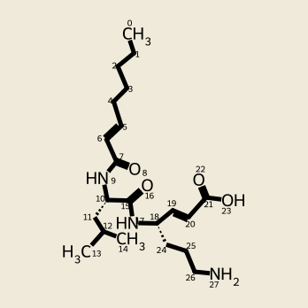 CCCCC/C=C/C(=O)N[C@@H](CC(C)C)C(=O)N[C@H](/C=C/C(=O)O)CCCN